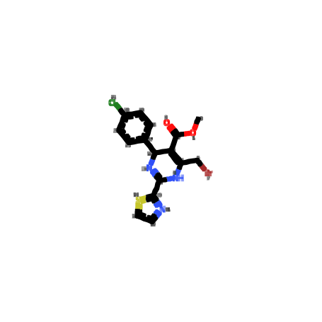 COC(=O)C1=C(CBr)NC(c2nccs2)=NC1c1ccc(Cl)cc1